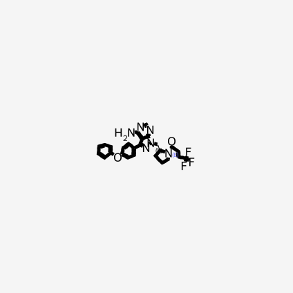 Nc1ncnc2c1c(-c1ccc(Oc3ccccc3)cc1)nn2C[C@H]1CCCN1C(=O)/C=C/C(F)(F)F